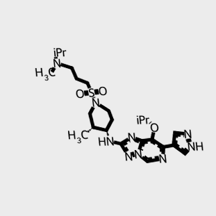 CC(C)Oc1c(-c2cn[nH]c2)ncn2nc(N[C@H]3CCN(S(=O)(=O)CCCN(C)C(C)C)C[C@H]3C)nc12